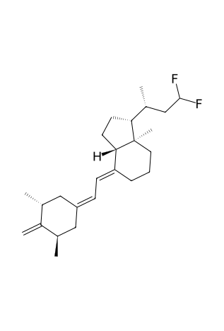 C=C1[C@H](C)CC(=C/C=C2\CCC[C@]3(C)[C@@H]([C@H](C)CC(F)F)CC[C@@H]23)C[C@H]1C